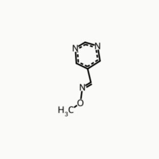 CON=Cc1cncnc1